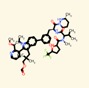 CCn1c(-c2cccnc2[C@H](C)OC)c(CC(C)(C)COC=O)c2cc(-c3cc(O)cc(C[C@H](NC(=O)C(C(C)C)N(C)C(=O)C4CCC(C(F)(F)F)O4)C(=O)N4CCC[C@@H](C)N4)c3)ccc21